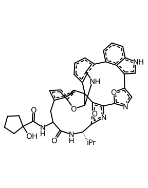 CC(C)[C@@H]1NC(=O)C(NC(=O)C2(O)CCCC2)Cc2ccc3c(c2)C24c5cccc(c5NC2O3)-c2cccc3[nH]cc(c23)-c2cnc(o2)-c2nc1oc24